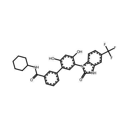 O=C(NC1CCCCC1)c1cccc(-c2cc(-n3c(=O)[nH]c4cc(C(F)(F)F)ccc43)c(O)cc2O)c1